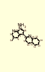 Cc1cnc2c(c1)c(-c1ccc3ccccc3n1)cn2N